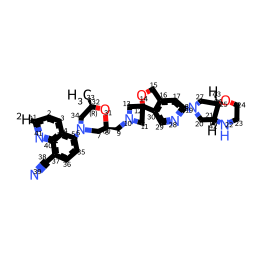 [2H]c1ccc2c(N3C[C@H](CN4CC5(C4)OCc4cc(N6C[C@H]7NCCO[C@@H]7C6)ncc45)O[C@H](C)C3)ccc(C#N)c2n1